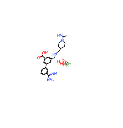 CC(=N)N1CCC(CNCc2cc(C(=O)O)cc(-c3cccc(C(=N)N)c3)c2)CC1.Cl.Cl.O.O.O